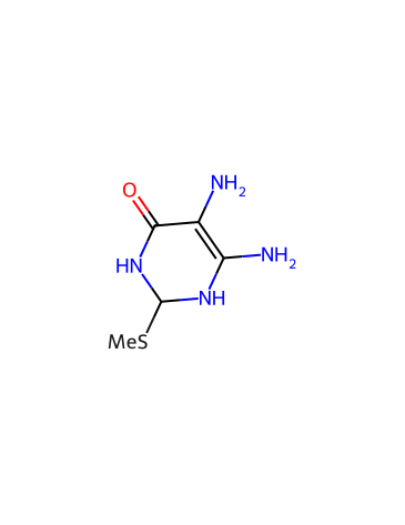 CSC1NC(=O)C(N)=C(N)N1